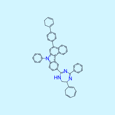 C1=CC=C(C2CNC(c3ccc4c(c3)c3c5ccccc5c(-c5ccc(C6=CC=CCC6)cc5)cc3n4-c3ccccc3)=NC(c3ccccc3)=N2)CC=C1